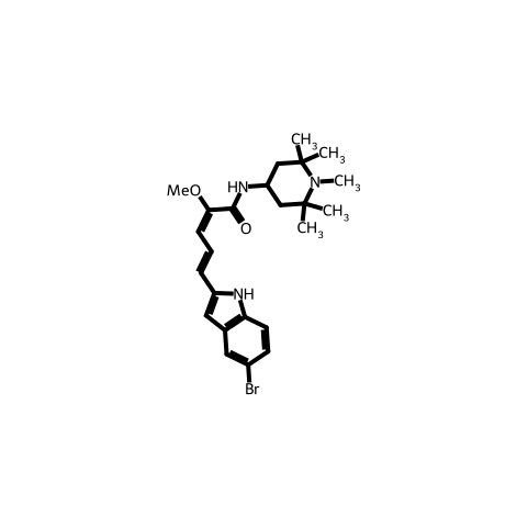 COC(=CC=Cc1cc2cc(Br)ccc2[nH]1)C(=O)NC1CC(C)(C)N(C)C(C)(C)C1